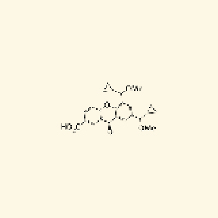 COC(c1cc(C(OC)C2CC2)c2oc3ccc(C(=O)O)cc3c(=O)c2c1)C1CC1